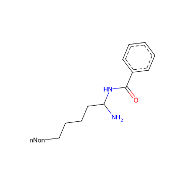 CCCCCCCCCCCCCC(N)NC(=O)c1ccccc1